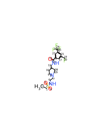 CCS(=O)(=O)NCCN1CCC(CNC(=O)c2cc(CF)cc(C(F)(F)F)c2)CC1